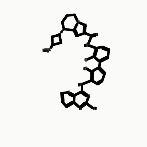 CC(C)c1nc(Nc2cccc(-c3cccc(NC(=O)c4cc5n(n4)CCC[C@H]5N4CC(C(=O)O)C4)c3Cl)c2Cl)c2ncccc2n1